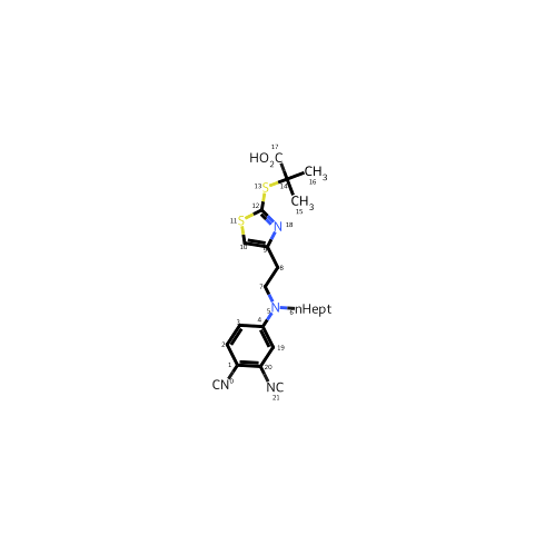 [C-]#[N+]c1ccc(N(CCCCCCC)CCc2csc(SC(C)(C)C(=O)O)n2)cc1[N+]#[C-]